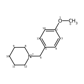 COc1ccc(CN2CCCCC2)cc1